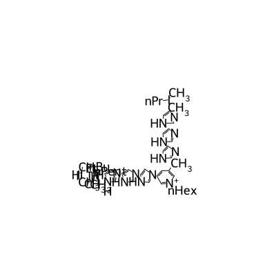 CCCCCC[n+]1cccc(C)c1.CCCCCI.CCCC[IH]C.CCCI(C)C.CC[IH]C.C[IH]C.[I-].c1c[nH]cn1.c1c[nH]cn1.c1c[nH]cn1.c1c[nH]cn1.c1c[nH]cn1.c1c[nH]cn1